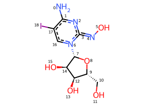 Nc1n/c(=N\O)n([C@@H]2O[C@H](CO)[C@@H](O)[C@H]2O)cc1I